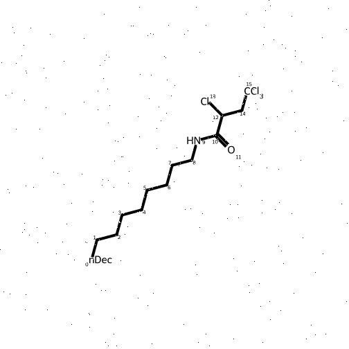 CCCCCCCCCCCCCCCCCCNC(=O)C(Cl)CC(Cl)(Cl)Cl